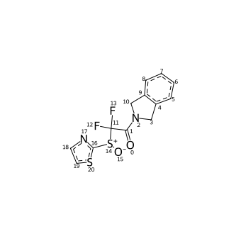 O=C(N1Cc2ccccc2C1)C(F)(F)[S+]([O-])c1nccs1